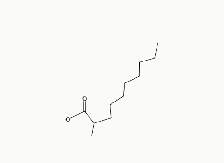 CCCCCCCCC(C)C([O])=O